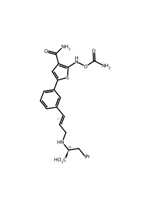 CC(C)C[C@H](NC/C=C/c1cccc(-c2cc(C(N)=O)c(NOC(N)=O)s2)c1)C(=O)O